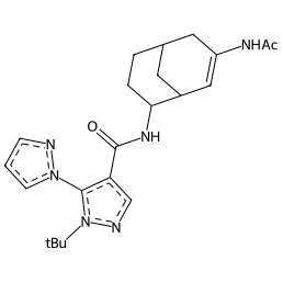 CC(=O)NC1=CC2CC(CCC2NC(=O)c2cnn(C(C)(C)C)c2-n2cccn2)C1